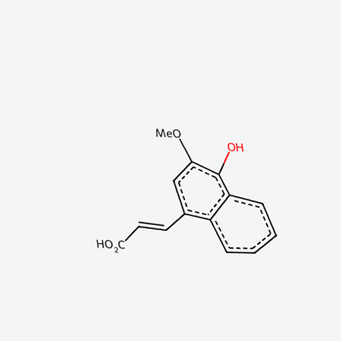 COc1cc(/C=C/C(=O)O)c2ccccc2c1O